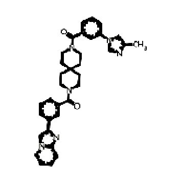 Cc1cn(-c2cccc(C(=O)N3CCC4(CCN(C(=O)c5cccc(-c6cn7ccccc7n6)c5)CC4)CC3)c2)cn1